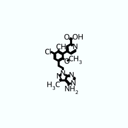 COc1c(CCn2nc(C)c3c(N)ncnc32)cc(Cl)c(C)c1-c1ccnc(C(=O)O)c1